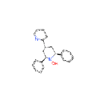 ON1[C@@H](c2ccccc2)CC(c2ccccn2)C[C@H]1c1ccccc1